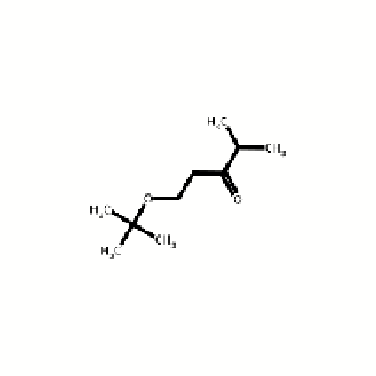 CC(C)C(=O)CCOC(C)(C)C